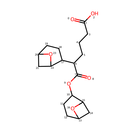 O=C(O)CCCC(C(=O)OC1CCC2CC1O2)C1CCC2CC1O2